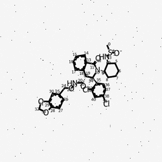 C[S+]([O-])N[C@H]1CCCC[C@@H]1N1C(=O)c2ccccc2[C@@H](C(=O)NOCc2ccc3c(c2)OCO3)[C@@H]1c1ccc(Cl)cc1Cl